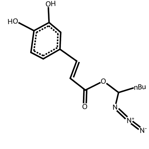 CCCCC(N=[N+]=[N-])OC(=O)C=Cc1ccc(O)c(O)c1